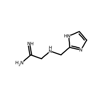 N=C(N)CNCc1ncc[nH]1